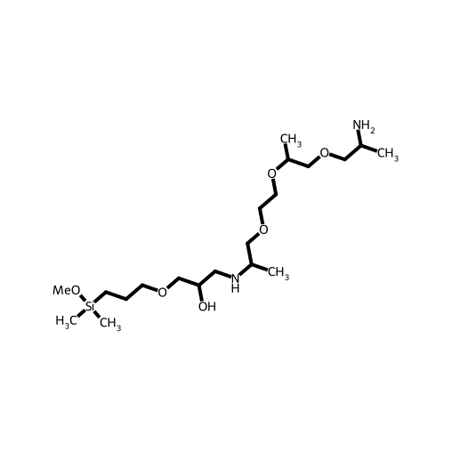 CO[Si](C)(C)CCCOCC(O)CNC(C)COCCOC(C)COCC(C)N